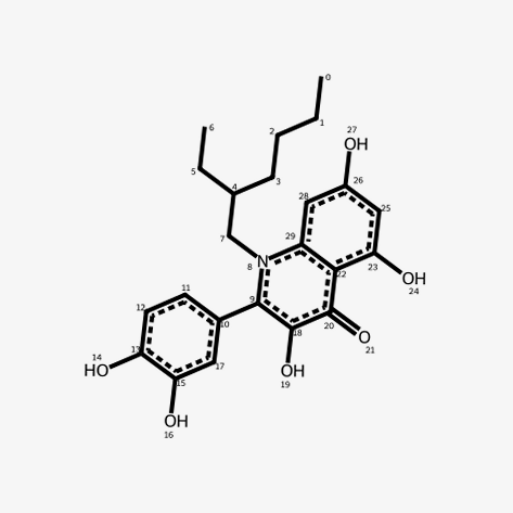 CCCCC(CC)Cn1c(-c2ccc(O)c(O)c2)c(O)c(=O)c2c(O)cc(O)cc21